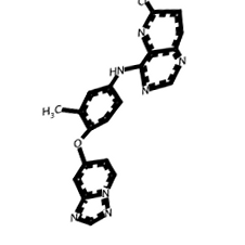 Cc1cc(Nc2ncnc3ccc(Cl)nc23)ccc1Oc1ccn2ncnc2c1